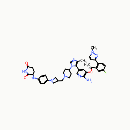 Cc1ncn(C2CCN(CC3CN(c4ccc(NC5CCC(=O)NC5=O)cc4)C3)CC2)c1-c1cnc(N)c(O[C@H](C)c2cc(F)ccc2-c2ccn(C)n2)c1